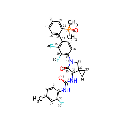 Cc1ccc(NC(=O)N[C@H]2C(=O)N(c3ccc(-c4ccccc4P(C)(C)=O)c(F)c3F)CC23CC3)c(F)c1